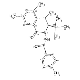 CCC(N(NC(=O)c1ccc(C)cc1)C(=O)c1cc(C)cc(C)c1)C(C)(C)C